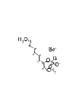 CCCCCCCC(CC)OS(=O)(=O)[O-].[Na+]